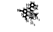 CC(C)(C)CNc1c(C#N)cnc2c(C#N)cc(NC(c3cn(C4CC4)nn3)c3cccc4ncsc34)cc12